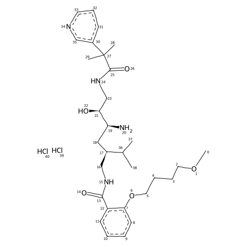 COCCCCOc1ccccc1C(=O)NC[C@@H](C[C@H](N)[C@@H](O)CNC(=O)C(C)(C)c1cccnc1)C(C)C.Cl.Cl